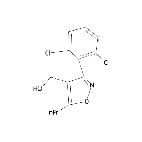 CCCc1onc(-c2c(Cl)cccc2Cl)c1CO